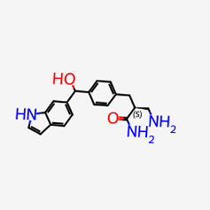 NC[C@H](Cc1ccc(C(O)c2ccc3cc[nH]c3c2)cc1)C(N)=O